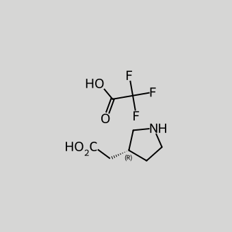 O=C(O)C(F)(F)F.O=C(O)C[C@H]1CCNC1